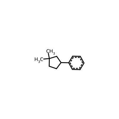 CC1(C)CCC(c2ccccc2)C1